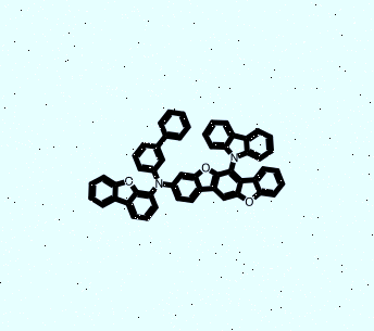 c1ccc(-c2cccc(N(c3ccc4c(c3)oc3c(-n5c6ccccc6c6ccccc65)c5c(cc34)oc3ccccc35)c3cccc4c3oc3ccccc34)c2)cc1